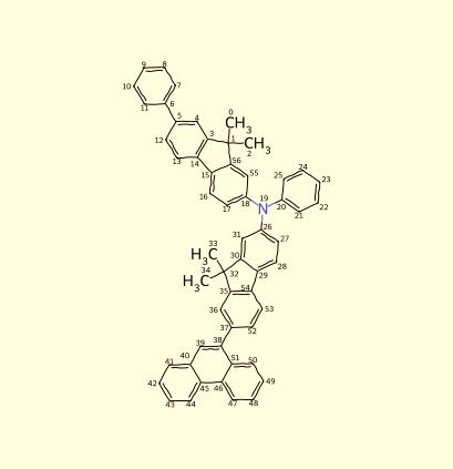 CC1(C)c2cc(-c3ccccc3)ccc2-c2ccc(N(c3ccccc3)c3ccc4c(c3)C(C)(C)c3cc(-c5cc6ccccc6c6ccccc56)ccc3-4)cc21